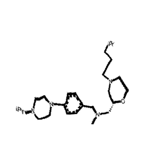 CC(C)CCCN1CCO[C@H](CN(C)Cc2ccc(N3CCN(C(C)C)CC3)cc2)C1